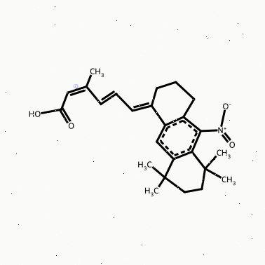 C/C(C=CC=C1CCCc2c1cc1c(c2[N+](=O)[O-])C(C)(C)CCC1(C)C)=C/C(=O)O